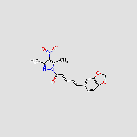 Cc1nn(C(=O)C=CC=Cc2ccc3c(c2)OCO3)c(C)c1[N+](=O)[O-]